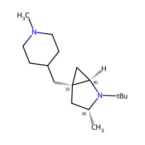 C[C@@H]1C[C@@]2(CC3CCN(C)CC3)C[C@H]2N1C(C)(C)C